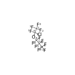 FC(F)(F)C(F)(Cl)OC(F)(F)C(F)(F)C(F)(F)F